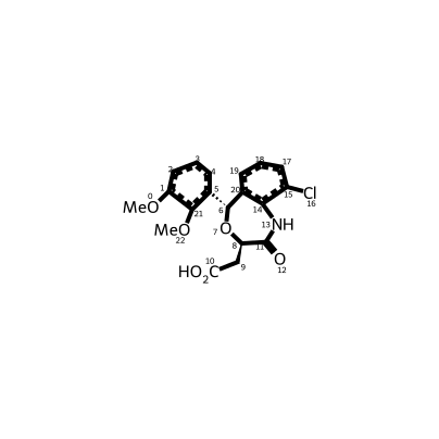 COc1cccc([C@H]2O[C@H](CC(=O)O)C(=O)Nc3c(Cl)cccc32)c1OC